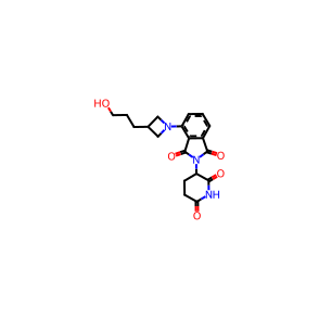 O=C1CCC(N2C(=O)c3cccc(N4CC(CCCO)C4)c3C2=O)C(=O)N1